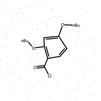 CCCCOc1ccc(C(=O)Cl)c(OCCCC)c1